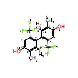 Cc1c(O)cc(C(F)(F)F)c(-c2c(C(F)(F)F)cc(O)c(C)c2C)c1C